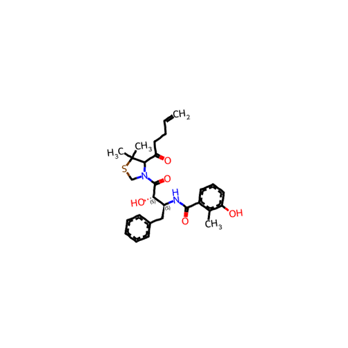 C=CCCC(=O)C1N(C(=O)[C@@H](O)[C@H](Cc2ccccc2)NC(=O)c2cccc(O)c2C)CSC1(C)C